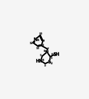 SC1SCNCN1Cc1ccncc1